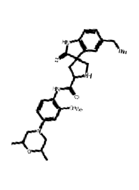 COc1cc(N2CC(C)OC(C)C2)ccc1NC(=O)C1CC2(CN1)C(=O)Nc1ccc(CC(C)(C)C)cc12